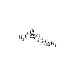 C=CC(=O)[O][Sn][CH2]CCCCCCC